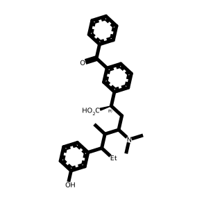 CCC(c1cccc(O)c1)C(C)C(C[C@@H](C(=O)O)c1cccc(C(=O)c2ccccc2)c1)N(C)C